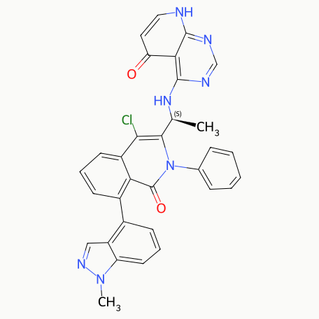 C[C@H](Nc1ncnc2[nH]ccc(=O)c12)c1c(Cl)c2cccc(-c3cccc4c3cnn4C)c2c(=O)n1-c1ccccc1